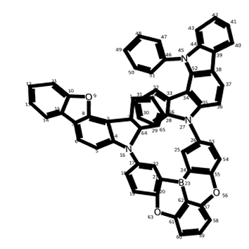 C1=CC2c3c(ccc4c3oc3ccccc34)N(c3ccc4c(c3)B3c5cc(-n6c7ccccc7c7c6ccc6c8ccccc8n(-c8ccccc8)c67)ccc5Oc5cccc(c53)O4)C2C=C1